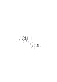 COc1nc(/C=C/C(=O)NN2CCCN(c3ccccc3)C2=O)ccc1-n1cnc(C)c1